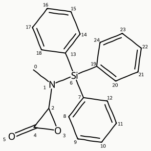 CN(C1OC1=O)[Si](c1ccccc1)(c1ccccc1)c1ccccc1